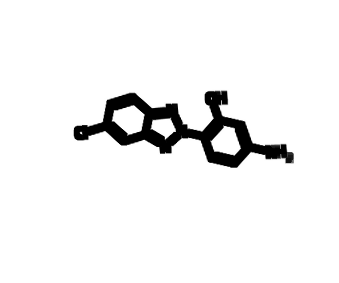 Nc1ccc(-n2nc3ccc(Cl)cc3n2)c(O)c1